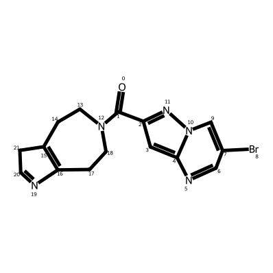 O=C(c1cc2ncc(Br)cn2n1)N1CCC2=C(CC1)N=CC2